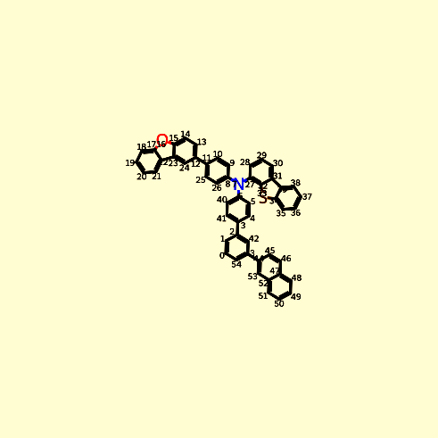 c1cc(-c2ccc(N(c3ccc(-c4ccc5oc6ccccc6c5c4)cc3)c3cccc4c3sc3ccccc34)cc2)cc(-c2ccc3ccccc3c2)c1